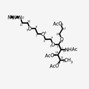 CC(=O)NC(C(OCCOCCOCCN=[N+]=[N-])OCCOC(C)=O)C(OC(C)=O)C(C)OC(C)=O